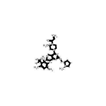 C=CC(=O)N1CCN(c2nc(OC[C@@H]3CCCN3C)nc3c2CO[C@H](C2(C)C(F)=C(N)C=C(C)C2C(F)(F)F)C3)C[C@@H]1C